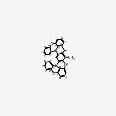 Cc1c2c(cc3c1Oc1cccc4c1B3c1ccccc1O4)B1c3ccccc3Oc3cccc(c31)C2